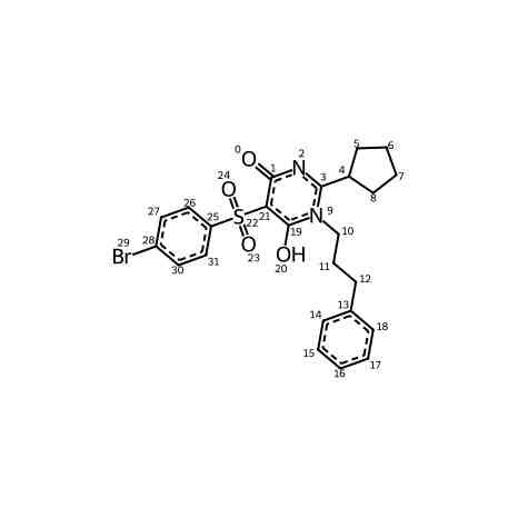 O=c1nc(C2CCCC2)n(CCCc2ccccc2)c(O)c1S(=O)(=O)c1ccc(Br)cc1